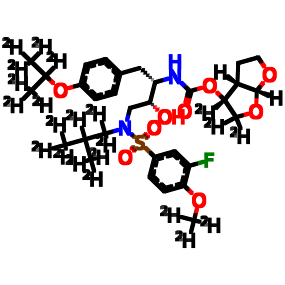 [2H]C([2H])([2H])Oc1ccc(S(=O)(=O)N(C[C@@H](O)[C@H](Cc2ccc(OC([2H])(C([2H])([2H])[2H])C([2H])([2H])[2H])cc2)NC(=O)O[C@]2([2H])[C@@H]3CCO[C@@H]3OC2([2H])[2H])C([2H])([2H])C([2H])(C([2H])([2H])[2H])C([2H])([2H])[2H])cc1F